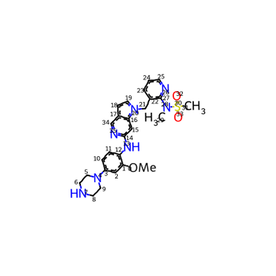 COc1cc(N2CCNCC2)ccc1Nc1cc2c(ccn2Cc2cccnc2N(C)S(C)(=O)=O)cn1